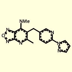 CNc1c(Cc2ccc(-n3cccn3)nc2)c(C)nc2nonc12